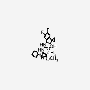 COc1nn(-c2ccccc2)c(NC(=O)N[C@@H]2c3cc(F)c(F)cc3C3(CC3)[C@H]2O)c1C